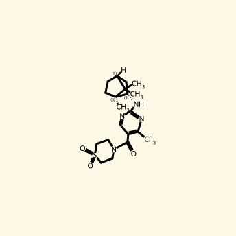 CC1(C)[C@@H]2CC[C@]1(C)[C@@H](Nc1ncc(C(=O)N3CCS(=O)(=O)CC3)c(C(F)(F)F)n1)C2